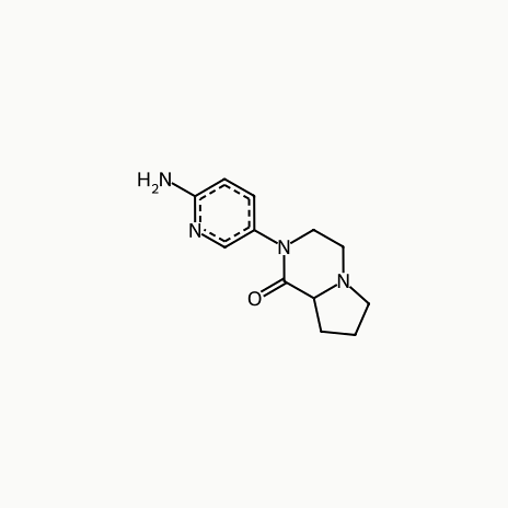 Nc1ccc(N2CCN3CCCC3C2=O)cn1